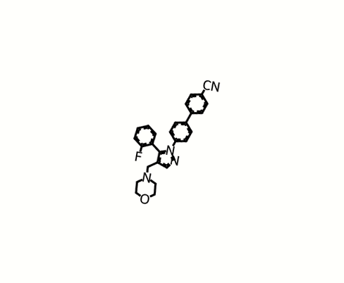 N#Cc1ccc(-c2ccc(-n3ncc(CN4CCOCC4)c3-c3ccccc3F)cc2)cc1